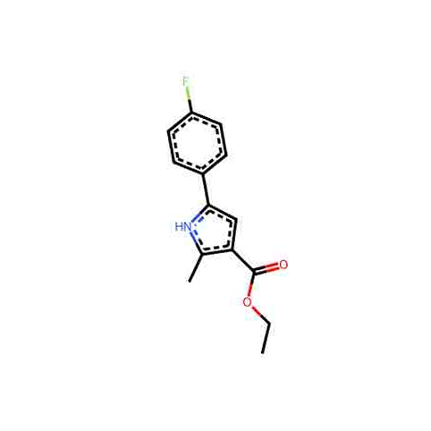 CCOC(=O)c1cc(-c2ccc(F)cc2)[nH]c1C